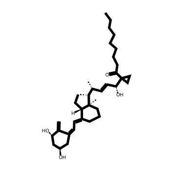 C=C1/C(=C\C=C2/CCC[C@]3(C)[C@@H]([C@H](C)/C=C/[C@@H](O)C4(C(=O)CCCCCCCC)CC4)CC[C@@H]23)C[C@@H](O)C[C@@H]1O